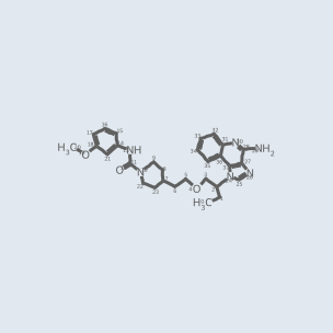 CCC(COCCC1CCN(C(=O)Nc2cccc(OC)c2)CC1)n1cnc2c(N)nc3ccccc3c21